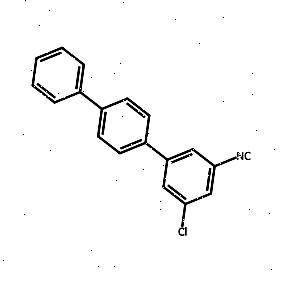 [C-]#[N+]c1cc(Cl)cc(-c2ccc(-c3ccccc3)cc2)c1